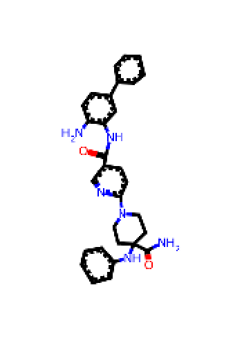 NC(=O)C1(Nc2ccccc2)CCN(c2ccc(C(=O)Nc3cc(-c4ccccc4)ccc3N)cn2)CC1